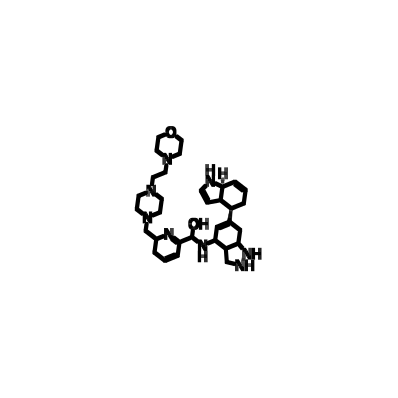 OC(NC1C=C([C@@H]2CC=C[C@@H]3NC=CC32)CC2NNCC12)C1=NC(CN2CCN(CCN3CCOCC3)CC2)CC=C1